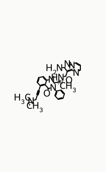 C[C@@H](NC(=O)c1c(N)nn2cccnc12)c1nc2cccc(C#CCN(C)C)c2c(=O)n1-c1ccccc1